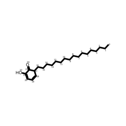 CCCCCCCCCCCCCCCCCC1C=CC=C(O)C1=O